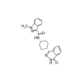 Cn1nc(C(=O)N[C@H]2CC[C@@H](c3n[nH]c(=O)c4ccccc43)CC2)c2ccccc21